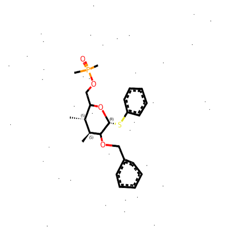 C[C@@H]1C(COP(C)(C)=O)O[C@H](Sc2ccccc2)C(OCc2ccccc2)[C@H]1C